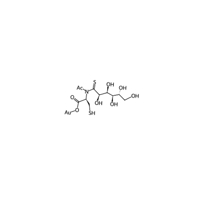 CC(=O)N(C(=S)[C@H](O)[C@@H](O)[C@H](O)[C@H](O)CO)[C@@H](CS)C(=O)[O][Au]